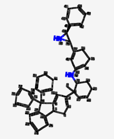 CC1(C2=CCC3C(=C2)C(C2=CCCC=C2)(c2ccccc2)c2ccccc23)C=CCCC1NC1=CCCC(C2N[C@H]2c2ccccc2)=C1